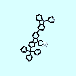 CCC1(CC)c2cc(-c3ccc4c(c3)c3ccccc3n4-c3ccncc3)ccc2-c2ccc(C(c3ccccc3)(c3ccccc3)c3ccccc3)cc21